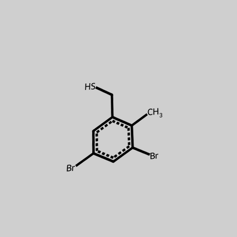 Cc1c(Br)cc(Br)cc1CS